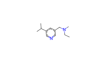 CCN(C)Cc1cncc(C(C)C)c1